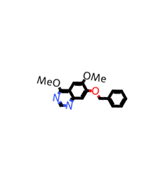 COc1cc2c(OC)ncnc2cc1OCc1ccccc1